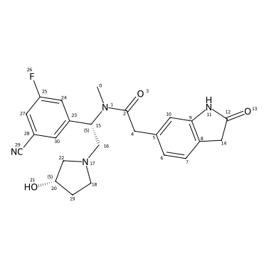 CN(C(=O)Cc1ccc2c(c1)NC(=O)C2)[C@H](CN1CC[C@H](O)C1)c1cc(F)cc(C#N)c1